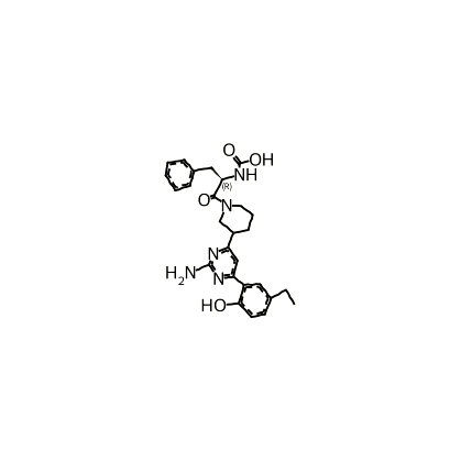 CCc1ccc(O)c(-c2cc(C3CCCN(C(=O)[C@@H](Cc4ccccc4)NC(=O)O)C3)nc(N)n2)c1